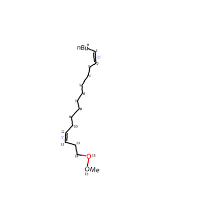 CCCC/C=C\CCCCCCCC/C=C\CCOOC